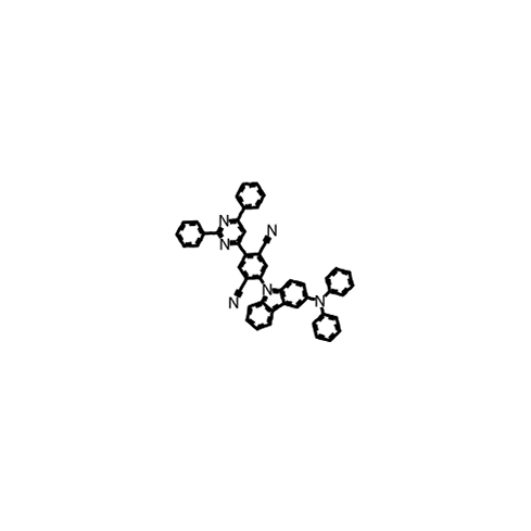 N#Cc1cc(-n2c3ccccc3c3cc(N(c4ccccc4)c4ccccc4)ccc32)c(C#N)cc1-c1cc(-c2ccccc2)nc(-c2ccccc2)n1